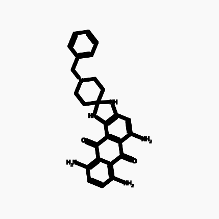 Nc1ccc(N)c2c1C(=O)c1c(N)cc3c(c1C2=O)NC1(CCN(Cc2ccccc2)CC1)N3